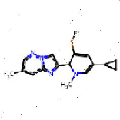 CCSC1=CC(C2CC2)=CN(C)C1c1cn2ncc(C(F)(F)F)cc2n1